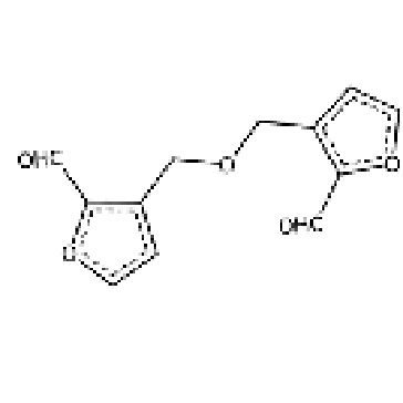 O=Cc1occc1COCc1ccoc1C=O